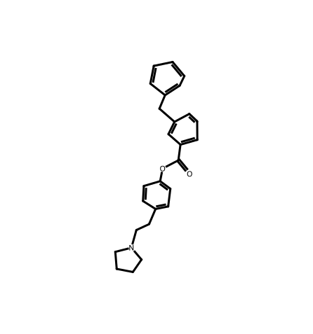 O=C(Oc1ccc(CCN2CCCC2)cc1)c1cccc(Cc2ccccc2)c1